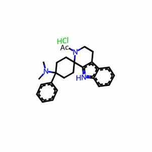 CC(=O)N1CCc2c([nH]c3ccccc23)C12CCC(c1ccccc1)(N(C)C)CC2.Cl